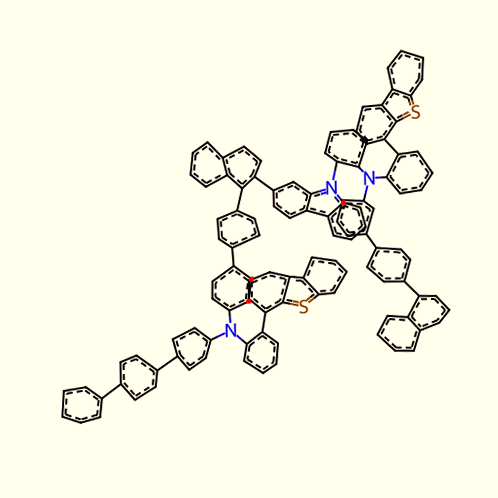 c1ccc(-c2ccc(-c3ccc(N(c4ccc(-c5ccc(-c6c(-c7ccc8c9ccccc9n(-c9ccccc9N(c9cccc(-c%10ccc(-c%11cccc%12ccccc%11%12)cc%10)c9)c9ccccc9-c9cccc%10c9sc9ccccc9%10)c8c7)ccc7ccccc67)cc5)cc4)c4ccccc4-c4cccc5c4sc4ccccc45)cc3)cc2)cc1